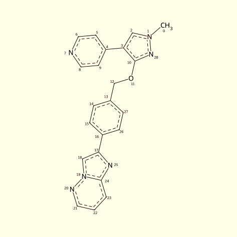 Cn1cc(-c2ccncc2)c(OCc2ccc(-c3cn4ncccc4n3)cc2)n1